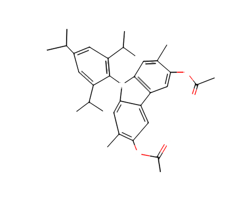 CC(=O)Oc1cc2c(cc1C)B(c1c(C(C)C)cc(C(C)C)cc1C(C)C)c1cc(C)c(OC(C)=O)cc1-2